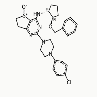 [O-][S+]1CCc2nc(N3CCN(c4ccc(Cl)cc4)CC3)nc(N[C@@H]3CCC[C@H]3OCc3ccccc3)c21